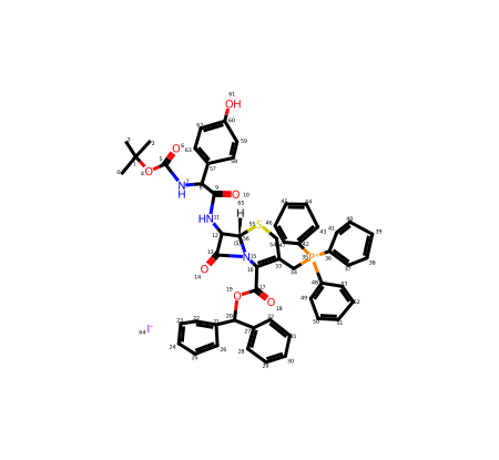 CC(C)(C)OC(=O)NC(C(=O)NC1C(=O)N2C(C(=O)OC(c3ccccc3)c3ccccc3)=C(C[P+](c3ccccc3)(c3ccccc3)c3ccccc3)CS[C@@H]12)c1ccc(O)cc1.[I-]